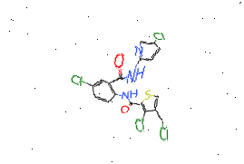 O=C(Nc1ccc(Cl)cn1)c1cc(Cl)ccc1NC(=O)c1scc(CCl)c1Cl